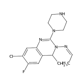 C/C=N\N1C(N2CCNCC2)=Nc2cc(Cl)c(F)cc2C1C